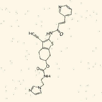 C#Cc1c(NC(=O)/C=C/c2cccnc2)sc2c1CCC(OC(=O)NCCn1ccnc1)C2